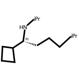 CC(C)CCC[C@@H](NC(C)C)C1CCC1